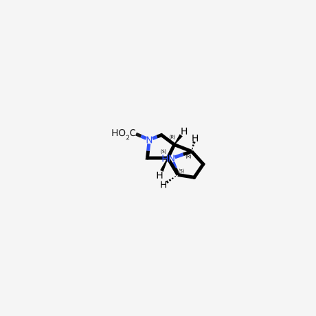 O=C(O)N1C[C@@H]2[C@H](C1)[C@H]1CC[C@@H]2N1